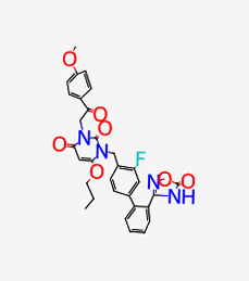 CCCOc1cc(=O)n(CC(=O)c2ccc(OC)cc2)c(=O)n1Cc1ccc(-c2ccccc2-c2noc(=O)[nH]2)cc1F